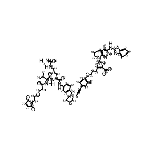 Cc1c(Nc2nc3ccccc3s2)nnc2c1CCCN2c1nc(C(=O)[O-])c(CCCOc2ccc(C#CC[N+]3(Cc4ccc(NC(=O)[C@H](CCCNC(N)=O)NC(=O)[C@@H](NC(=O)CCOCCN5C(=O)C=CC5=O)C(C)C)cc4)CCCC3)cc2F)s1